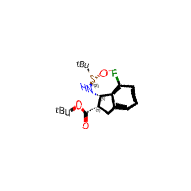 CC(C)(C)OC(=O)[C@H]1Cc2cccc(F)c2[C@H]1N[S@@+]([O-])C(C)(C)C